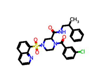 CC(CNC(=O)C1CN(S(=O)(=O)c2cccc3cccnc23)CCN1C(=O)c1cccc(Cl)c1)c1ccccc1